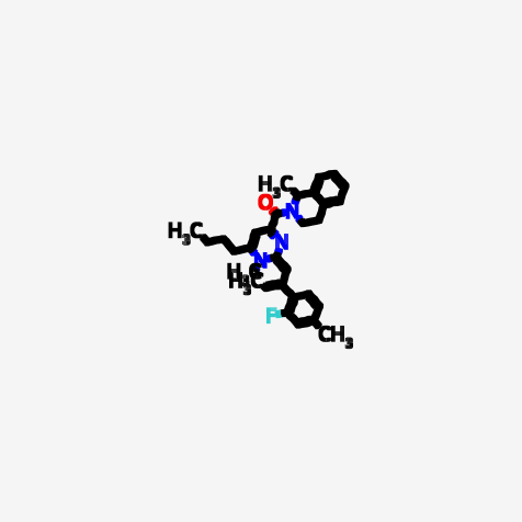 C/C=C(\C=C1\N=C(C(=O)N2CCc3ccccc3C2C)C=C(CCCC)N1C)c1ccc(C)cc1F